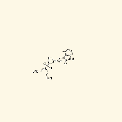 Cc1cccc2c1C(=CNc1cccc(S(=O)(=O)N(CCO)CCO)c1)C(=O)N2